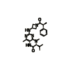 Cc1nc(NC2CN(C(=O)[C@@H](C)c3ccccc3)C2)nc2c1NC(=O)[C@H](C(C)C)N2C